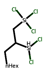 CCCCCCCC(C[Si](Cl)(Cl)Cl)[SiH](Cl)Cl